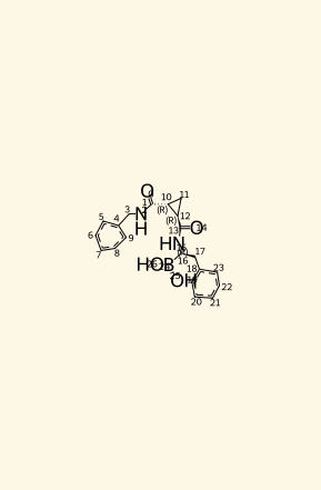 O=C(NCc1ccccc1)[C@@H]1C[C@H]1C(=O)N[C@@H](Cc1ccccc1)B(O)O